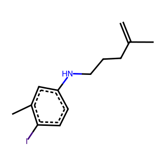 C=C(C)CCCNc1ccc(I)c(C)c1